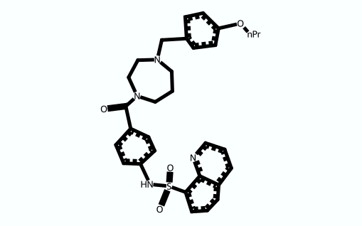 CCCOc1ccc(CN2CCCN(C(=O)c3ccc(NS(=O)(=O)c4cccc5cccnc45)cc3)CC2)cc1